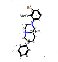 COc1c(Br)[c]ccc1N1CCN2C[C@@H](c3ccccc3)CC[C@@H]2C1